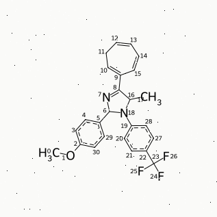 COc1ccc(C2N=C(C3=CCC=CC=C3)C(C)N2c2ccc(C(F)(F)F)cc2)cc1